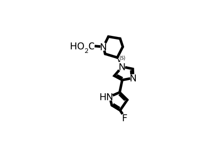 O=C(O)N1CCC[C@H](n2cnc(-c3cc(F)c[nH]3)c2)C1